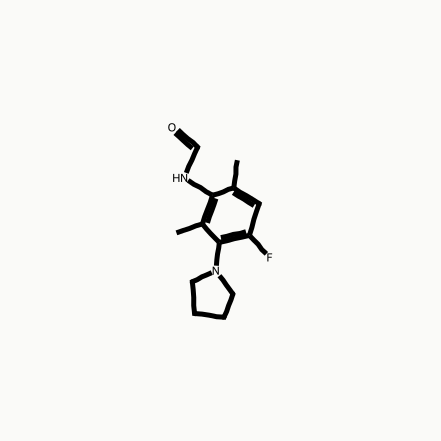 Cc1cc(F)c(N2CCCC2)c(C)c1NC=O